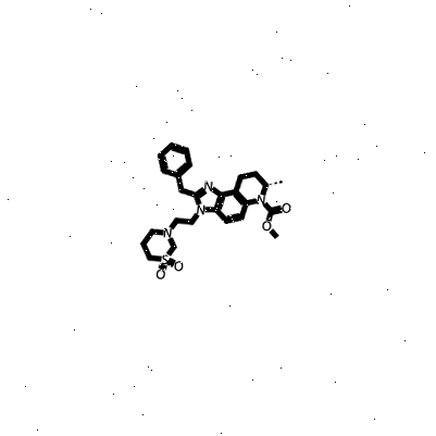 COC(=O)N1c2ccc3c(nc(Cc4ccccc4)n3CCN3CCCS(=O)(=O)C3)c2CC[C@@H]1C